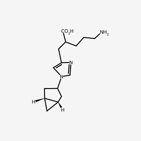 NCCCC(Cc1cn(C2C[C@@H]3C[C@@H]3C2)cn1)C(=O)O